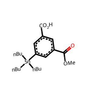 CCC[CH2][Sn]([CH2]CCC)([CH2]CCC)[c]1cc(C(=O)O)cc(C(=O)OC)c1